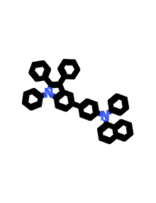 C1=CCCC(c2c(-c3ccccc3)n(-c3ccccc3)c3ccc(-c4ccc(N(c5ccccc5)c5cccc6ccccc56)cc4)cc23)=C1